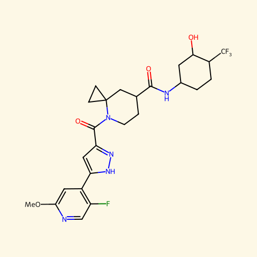 COc1cc(-c2cc(C(=O)N3CCC(C(=O)NC4CCC(C(F)(F)F)C(O)C4)CC34CC4)n[nH]2)c(F)cn1